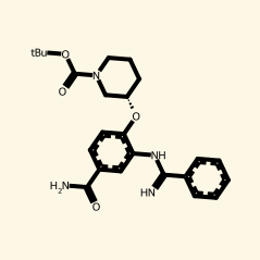 CC(C)(C)OC(=O)N1CCC[C@H](Oc2ccc(C(N)=O)cc2NC(=N)c2ccccc2)C1